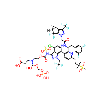 CC(C)(CCc1ccc(-c2ccc(Cl)c3c(N(C(=O)OCCN(CCC(=O)O)C(O)OCOP(=O)(O)O)S(C)(=O)=O)nn(CC(F)(F)F)c23)c([C@H](Cc2cc(F)cc(F)c2)NC(=O)Cn2nc(C(F)(F)F)c3c2C(F)(F)[C@@H]2CC32)n1)S(C)(=O)=O